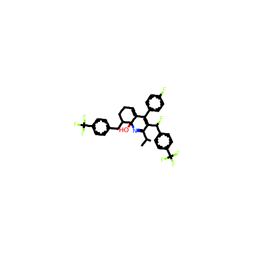 CC(C)C1=NC2(O)C(=CCCC2Cc2ccc(C(F)(F)F)cc2)C(c2ccc(F)cc2)=C1C(F)c1ccc(C(F)(F)F)cc1